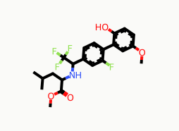 COC(=O)C(CC(C)C)NC(c1ccc(-c2cc(OC)ccc2O)c(F)c1)C(F)(F)F